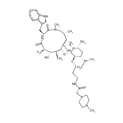 C[C@H]1CN(C)C(=O)[C@H](Cc2c[nH]c3ccccc23)NC(=O)[C@H](C)[C@@H](O)[C@H](C)[C@@H](O[C@@H]2O[C@H](C)C[C@H](N(C)C)[C@H]2OCCCNC(=O)CN2CCN(C)CC2)[C@](C)(O)C1